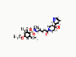 COc1cc(C)c(S(=O)(=O)N(C)CCCCC(=O)N2CCC(O)(c3cccnc3)CC2)c(C)c1